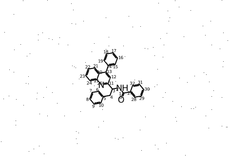 O=C(NC(Cc1ccccc1)c1cc(-c2ccccc2)c2ccccc2n1)c1ccccc1